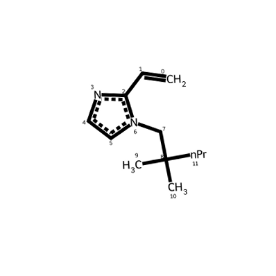 C=Cc1nccn1CC(C)(C)CCC